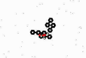 c1ccc(-c2ccc(-c3ccc(N(c4ccc(-c5ccccc5-c5ccccc5-c5ccccc5)cc4)c4ccccc4-c4cc5ccccc5o4)cc3)cc2)cc1